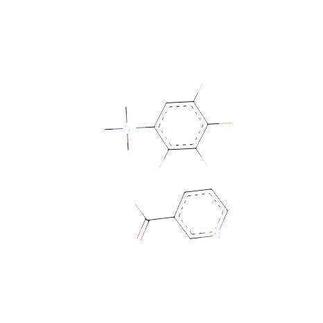 C[N+](C)(C)c1cc(F)c(F)c(F)c1F.O=C([O-])c1cccnc1